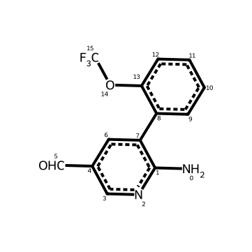 Nc1ncc(C=O)cc1-c1ccccc1OC(F)(F)F